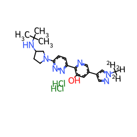 Cl.Cl.[2H]C([2H])([2H])n1cc(-c2cnc(-c3ccc(N4CCC(NC(C)(C)C)C4)nn3)c(O)c2)cn1